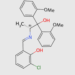 COc1ccccc1C(O)(c1ccccc1OC)[C@@H](C)N=Cc1cccc(Cl)c1O